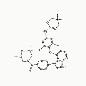 C[C@@H]1CN(C(=O)c2ccc(-c3c[nH]c4nccc(Oc5c(F)cc(NC6=NCC(C)(C)CO6)cc5F)c34)cc2)C[C@H](C)O1